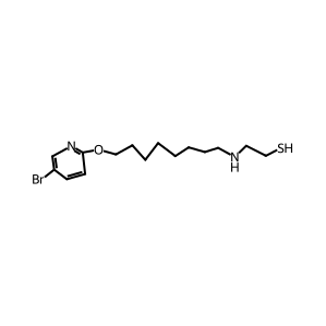 SCCNCCCCCCCCOc1ccc(Br)cn1